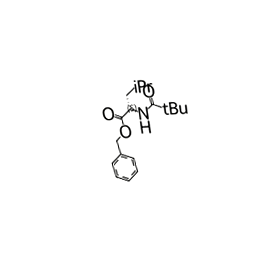 CC(C)C[C@H](NC(=O)C(C)(C)C)C(=O)OCc1ccccc1